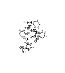 CNC(=O)[C@H]1CCCC[C@H]1C(=O)N1CCc2cccc(OCc3ccnn3C(=O)O)c2[C@H]1CN1C(=O)c2ccccc2C1=O